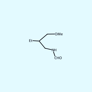 CCC(CNC=O)COC